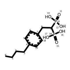 CCCCc1ccc(CC(P(=O)(O)O)P(=O)(O)O)cc1